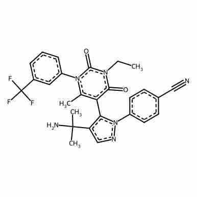 CCn1c(=O)c(-c2c(C(C)(C)N)cnn2-c2ccc(C#N)cc2)c(C)n(-c2cccc(C(F)(F)F)c2)c1=O